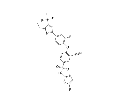 CCn1nc(-c2ccc(Oc3ccc(S(=O)(=O)Nc4ncc(F)s4)cc3C#N)c(F)c2)cc1C(F)(F)F